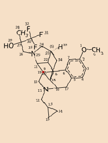 COc1ccc2c(c1)C13CCN(CC4CC4)C(C2)C12CCC1C3[C@@H](CN1CC(C)(O)C(F)(F)F)C2